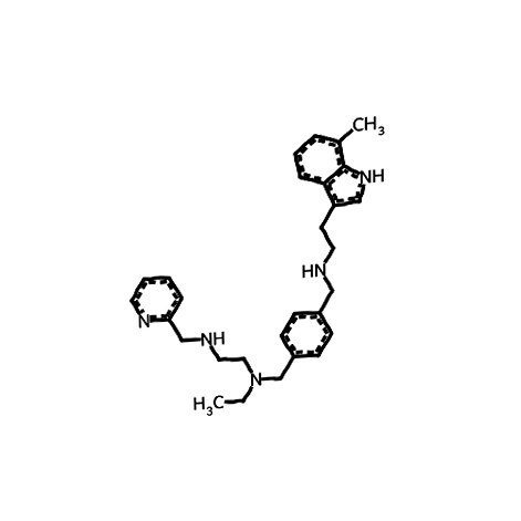 CCN(CCNCc1ccccn1)Cc1ccc(CNCCc2c[nH]c3c(C)cccc23)cc1